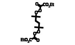 CCOC(=O)C(=O)OOC(C)(C)CCC(C)(C)OOC(=O)C(=O)OCC